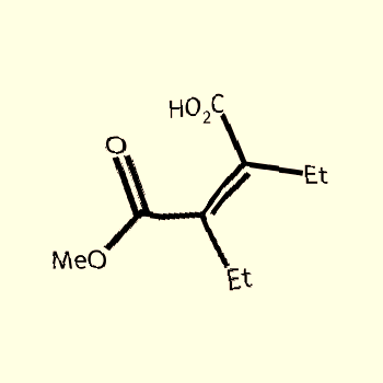 CC/C(C(=O)O)=C(\CC)C(=O)OC